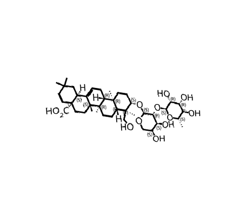 C[C@@H]1O[C@@H](O[C@H]2[C@H](O[C@H]3CC[C@@]4(C)[C@@H](CC[C@]5(C)[C@@H]4CC=C4[C@@H]6CC(C)(C)CC[C@]6(C(=O)O)CC[C@]45C)[C@]3(C)CO)OC[C@H](O)[C@@H]2O)[C@H](O)[C@H](O)[C@H]1O